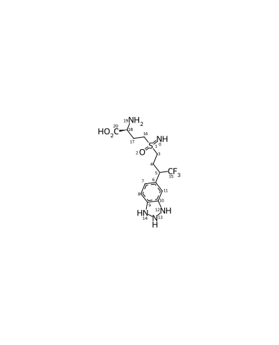 N=S(=O)(CCC(c1ccc2c(c1)NNN2)C(F)(F)F)CC[C@H](N)C(=O)O